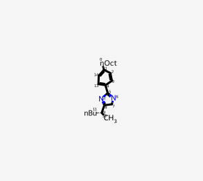 CCCCCCCCc1ccc(C2=NCC([C@H](C)CCCC)=N2)cc1